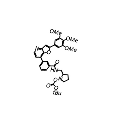 COc1cc(-c2cc3nccc(-c4cccc(C(=O)NCC5CCCN5OC(=O)OC(C)(C)C)c4)c3o2)cc(OC)c1OC